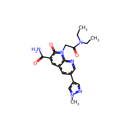 CCN(CC)C(=O)Cn1c(=O)c(C(N)=O)cc2cc(-c3cnn(C)c3)cnc21